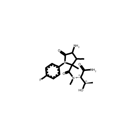 CC1C(N)C(=O)N(c2ccc(F)cc2)C1(C)C(=O)N(C)[C@H](C(N)=O)[C@@H](C)O